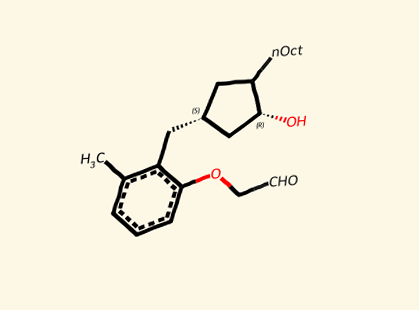 CCCCCCCCC1C[C@@H](Cc2c(C)cccc2OCC=O)C[C@H]1O